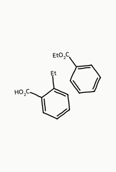 CCOC(=O)c1ccccc1.CCc1ccccc1C(=O)O